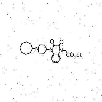 CCOC(=O)Cn1c(=O)c(=O)n(C2CCN(C3CCCCCCC3)CC2)c2ccccc21